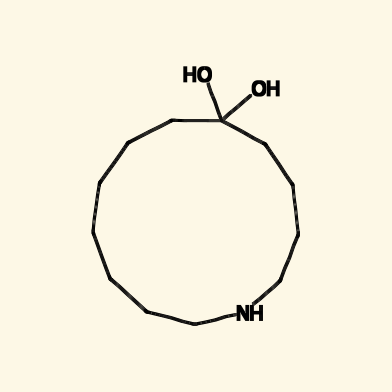 OC1(O)CCCCCCCNCCCC1